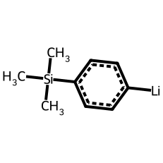 [Li][c]1ccc([Si](C)(C)C)cc1